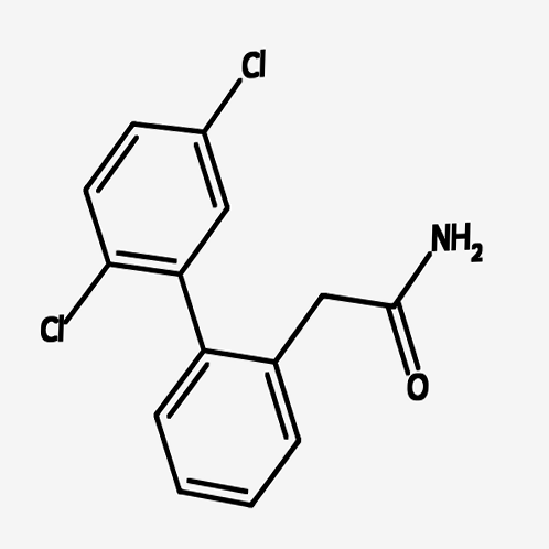 NC(=O)Cc1ccccc1-c1cc(Cl)ccc1Cl